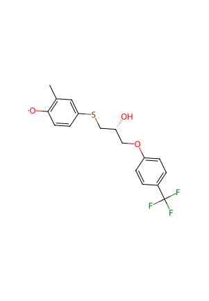 Cc1cc(SC[C@H](O)COc2ccc(C(F)(F)F)cc2)ccc1[O]